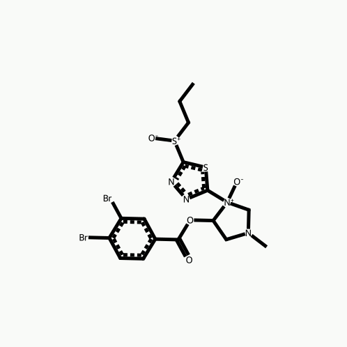 CCC[S+]([O-])c1nnc([N+]2([O-])CN(C)CC2OC(=O)c2ccc(Br)c(Br)c2)s1